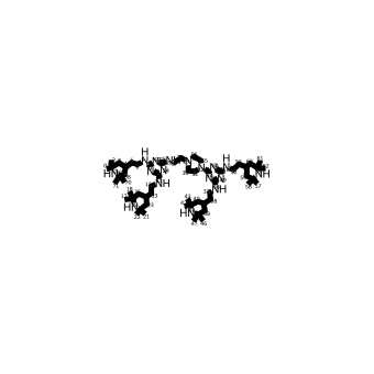 CC1(C)CC(CCNc2nc(NCCC3CC(C)(C)NC(C)(C)C3)nc(NCCN3CCN(c4nc(NCCC5CC(C)(C)NC(C)(C)C5)nc(NCCC5CC(C)(C)NC(C)(C)C5)n4)CC3)n2)CC(C)(C)N1